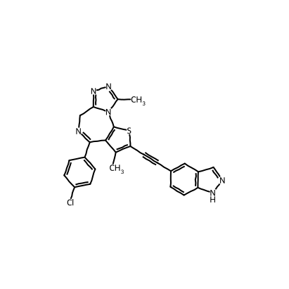 Cc1c(C#Cc2ccc3[nH]ncc3c2)sc2c1C(c1ccc(Cl)cc1)=NCc1nnc(C)n1-2